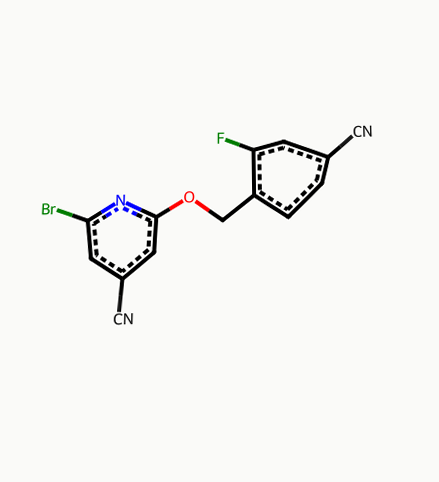 N#Cc1cc(Br)nc(OCc2ccc(C#N)cc2F)c1